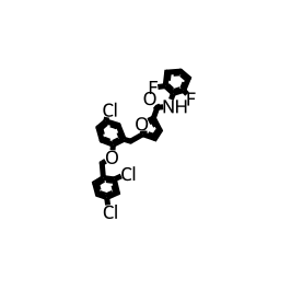 O=C(Nc1c(F)cccc1F)c1ccc(Cc2cc(Cl)ccc2OCc2ccc(Cl)cc2Cl)o1